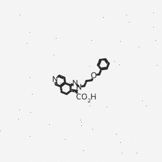 O=C(O)c1c2c(nn1CCCOCc1ccccc1)-c1ccncc1CC2